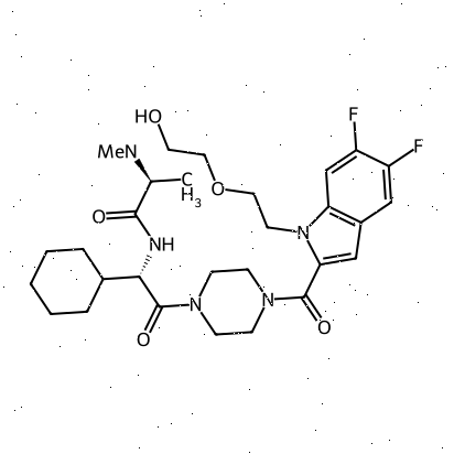 CN[C@@H](C)C(=O)N[C@H](C(=O)N1CCN(C(=O)c2cc3cc(F)c(F)cc3n2CCOCCO)CC1)C1CCCCC1